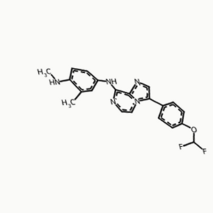 CNc1ccc(Nc2nccn3c(-c4ccc(OC(F)F)cc4)cnc23)cc1C